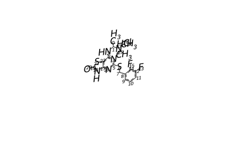 CC(Nc1nc(SCc2cccc(F)c2F)nc2[nH]c(=O)sc12)N(C)C.Cl